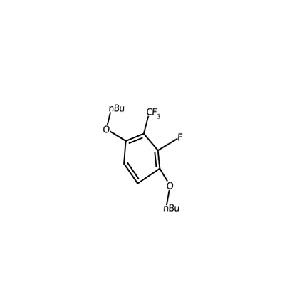 CCCCOc1ccc(OCCCC)c(C(F)(F)F)c1F